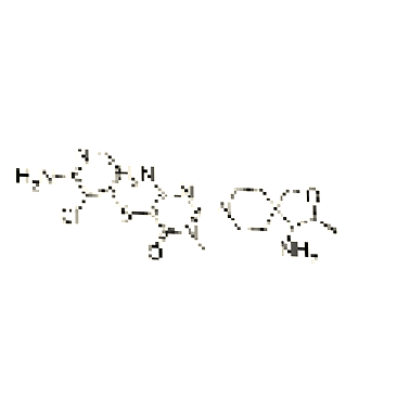 C[C@@H]1OCC2(CCN(c3nc(N)c(Sc4ccnc(N)c4Cl)c(=O)n3C)CC2)[C@@H]1N